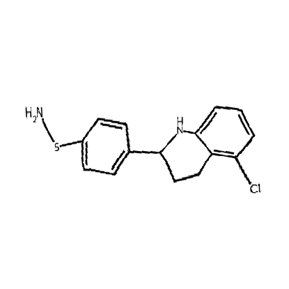 NSc1ccc(C2CCc3c(Cl)cccc3N2)cc1